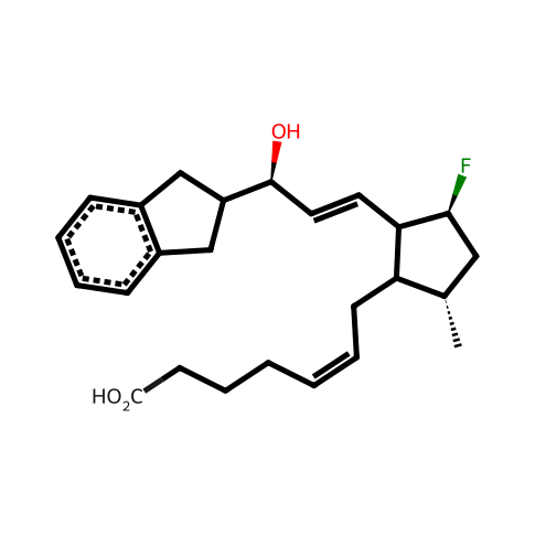 C[C@H]1C[C@H](F)C(/C=C/[C@H](O)C2Cc3ccccc3C2)C1C/C=C\CCCC(=O)O